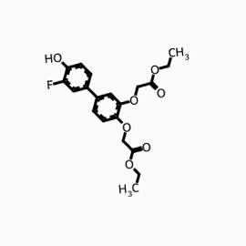 CCOC(=O)COc1ccc(-c2ccc(O)c(F)c2)cc1OCC(=O)OCC